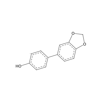 Oc1[c]cc(-c2ccc3c(c2)OCO3)cc1